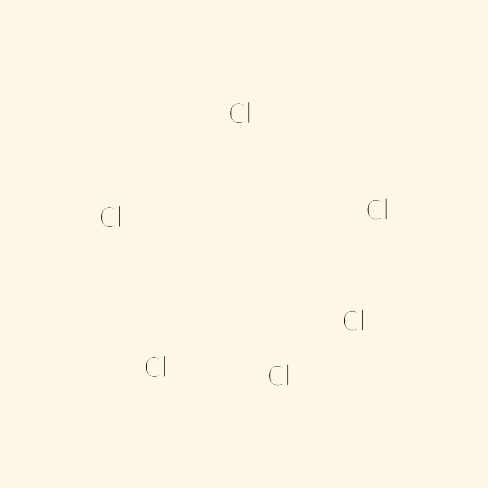 ClC1=C(Cl)C(Cl)(Cl)C(Cl)C1Cl